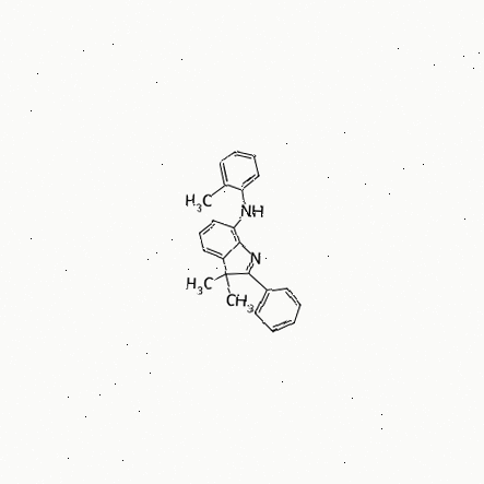 Cc1ccccc1Nc1cccc2c1N=C(c1ccccc1)C2(C)C